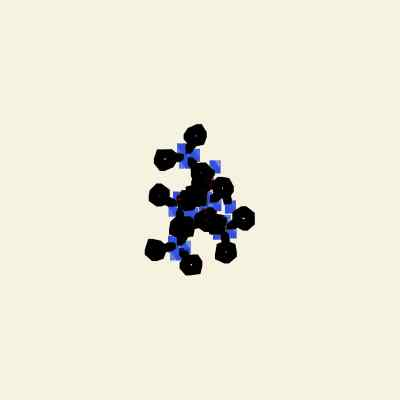 N#Cc1ccc(-c2cccc(-n3c4ccc(-c5nc(-c6ccccc6)nc(-c6ccccc6)n5)cc4c4cc(-c5nc(-c6ccccc6)nc(-c6ccccc6)n5)ccc43)c2-c2nc(-c3ccccc3)nc(-c3c(C#N)cccc3-n3c4ccc(-c5nc(-c6ccccc6)nc(-c6ccccc6)n5)cc4c4cc(-c5nc(-c6ccccc6)nc(-c6ccccc6)n5)ccc43)n2)cc1